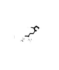 COP(C)(=O)CC(=O)CCc1sccc1Cl